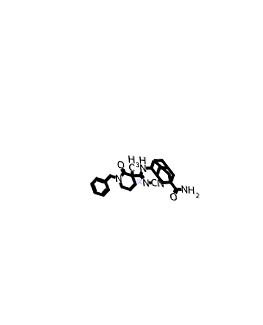 CC1(/C(=N/C#N)NC2C3CC4CC2CC(C(N)=O)(C4)C3)CCCN(Cc2ccccc2)C1=O